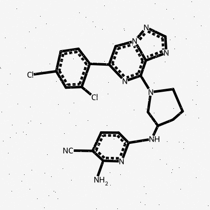 N#Cc1ccc(NC2CCCN(c3nc(-c4ccc(Cl)cc4Cl)cn4ncnc34)C2)nc1N